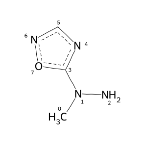 CN(N)c1ncno1